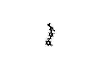 Cn1nc(C2CC2)cc1C12CCC(CNc3cccc(Br)c3)(CC1)CC2